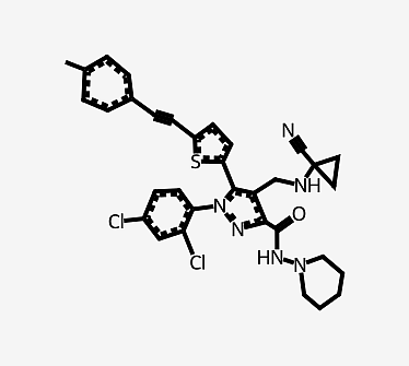 Cc1ccc(C#Cc2ccc(-c3c(CNC4(C#N)CC4)c(C(=O)NN4CCCCC4)nn3-c3ccc(Cl)cc3Cl)s2)cc1